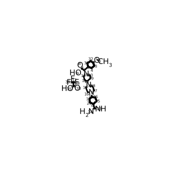 COc1ccc(C(C(=O)O)N2CCC(N3CCN(c4ccc(C(=N)N)cc4)CC3)CC2)cc1.O=C(O)C(F)(F)F